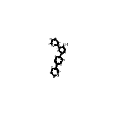 Oc1ccc(-c2ccc(-c3cccnc3)cc2)cc1-c1ccccn1